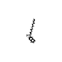 CCCCCCCCCCCCNc1ccc2ccccc2c1